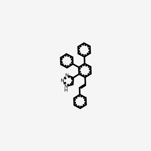 C(=Cc1ccc(-c2ccccc2)c(-c2ccccc2)c1-c1c[nH]nn1)c1ccccc1